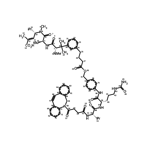 CN[C@H](C(=O)N[C@H](C(=O)N(C)[C@H](/C=C(\C)C(=O)O)C(C)C)C(C)(C)C)C(C)(C)c1cccc(CCCC(=O)OCc2ccc(NC(=O)[C@H](CCCNC(N)=O)NC(=O)[C@@H](NC(=O)CCC(=O)N3Cc4ccccc4C#Cc4ccccc43)C(C)C)cc2)c1